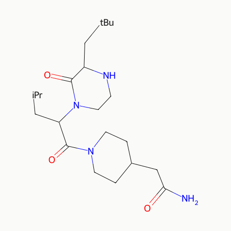 CC(C)CC(C(=O)N1CCC(CC(N)=O)CC1)N1CCNC(CC(C)(C)C)C1=O